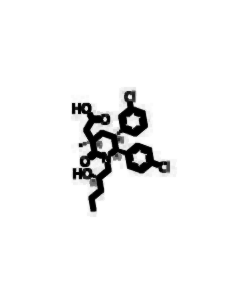 CCC[C@H](O)CN1C(=O)[C@@](C)(CC(=O)O)C[C@H](c2cccc(Cl)c2)[C@H]1c1ccc(Cl)cc1